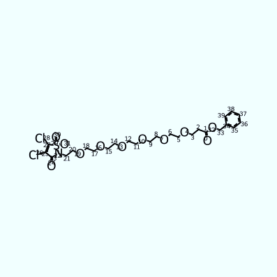 O=C(CCOCCOCCOCCOCCOCCOCCN1C(=O)C(Cl)=C(Cl)S1(=O)=O)OCc1ccccc1